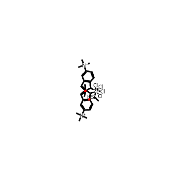 CC1=Cc2cc([N+](C)(C)C)ccc2[CH]1[Zr]([Cl])([Cl])([Cl])([Cl])([CH]1C(C)=Cc2cc([N+](C)(C)C)ccc21)[SiH](C)C